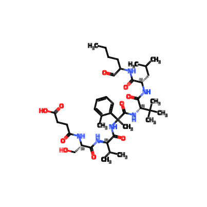 CCCCC(C=O)NC(=O)[C@H](CC(C)C)NC(=O)[C@@H](NC(=O)C(C)(NC(=O)[C@H](NC(=O)[C@H](CO)NC(=O)CCC(=O)O)C(C)C)c1ccccc1C)C(C)(C)C